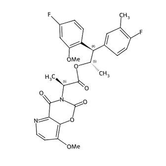 COc1cc(F)ccc1[C@@H](c1ccc(F)c(C)c1)[C@H](C)OC(=O)[C@H](C)n1c(=O)oc2c(OC)ccnc2c1=O